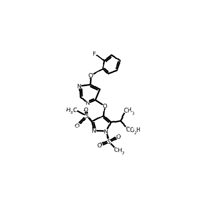 CC(C(=O)O)c1c(Oc2cc(Oc3ccccc3F)ncn2)c(S(C)(=O)=O)nn1S(C)(=O)=O